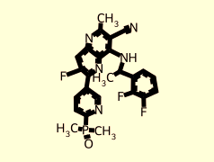 Cc1nc2cc(F)c(-c3ccc(P(C)(C)=O)nc3)nc2c(NC(C)c2cccc(F)c2F)c1C#N